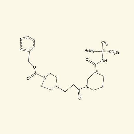 CCOC(=O)[C@@](C)(NC(C)=O)NC(=O)[C@@H]1CCCN(C(=O)CCC2CCN(C(=O)OCc3ccccc3)CC2)C1